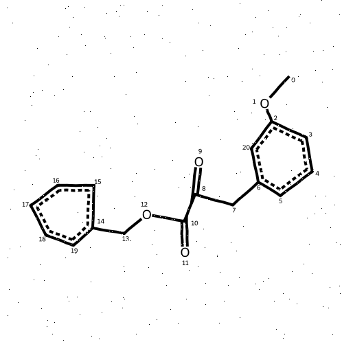 COc1cccc(CC(=O)C(=O)OCc2ccccc2)c1